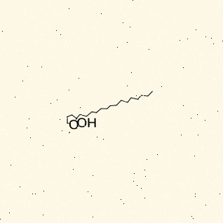 CCCCCCCCCCCCCCCC1(O)CCCO1